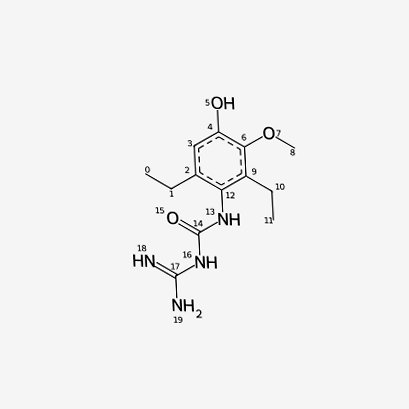 CCc1cc(O)c(OC)c(CC)c1NC(=O)NC(=N)N